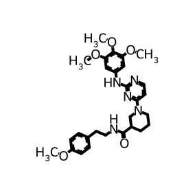 COc1ccc(CCNC(=O)C2CCCN(c3ccnc(Nc4cc(OC)c(OC)c(OC)c4)n3)C2)cc1